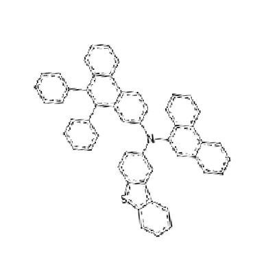 c1ccc(-c2c(-c3ccccc3)c3cc(N(c4ccc5sc6ccccc6c5c4)c4cc5ccccc5c5ccccc45)ccc3c3ccccc23)cc1